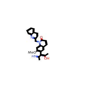 COc1cc2c(ccc(=O)n2Cc2ccc3ccccc3n2)cc1/C(C(C)=N)=C(\C)O